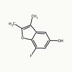 Cc1oc2c(F)cc(O)cc2c1C